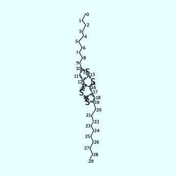 CCCCCCCCCCc1cc2c(s1)sc1c3cc(CCCCCCCCCC)sc3sc21